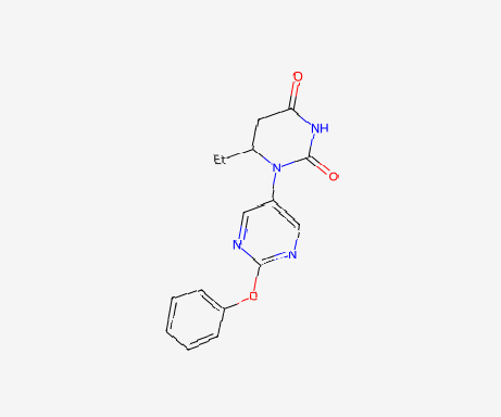 CCC1CC(=O)NC(=O)N1c1cnc(Oc2ccccc2)nc1